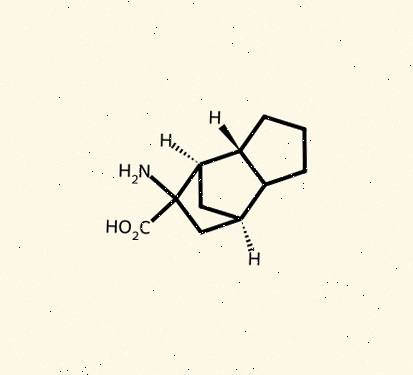 NC1(C(=O)O)C[C@H]2C[C@@H]1[C@@H]1CCCC21